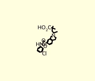 CC(CC(C)(C)C(=O)O)N1CCc2ccc(S(=O)(=O)Nc3cccc(Cl)c3)cc2C1